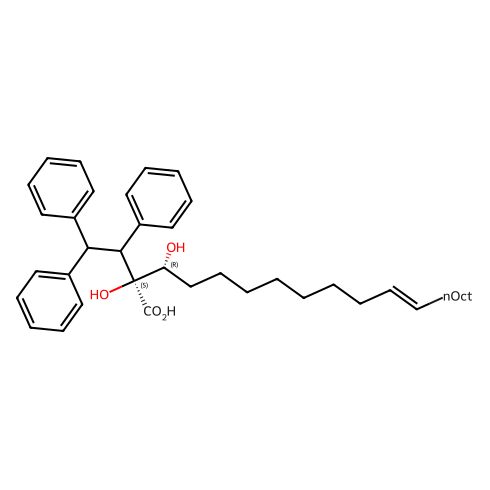 CCCCCCCCC=CCCCCCCC[C@@H](O)[C@](O)(C(=O)O)C(c1ccccc1)C(c1ccccc1)c1ccccc1